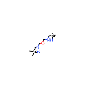 C[Si](C)(C)CNCOCNC[Si](C)(C)C